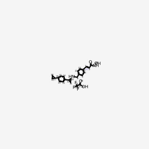 O=C(/C=C/c1ccc(CNC2CC2c2ccc(C3CC3)cc2)cc1)NO.O=C(O)C(F)(F)F